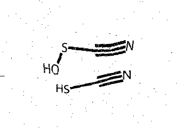 N#CS.N#CSO